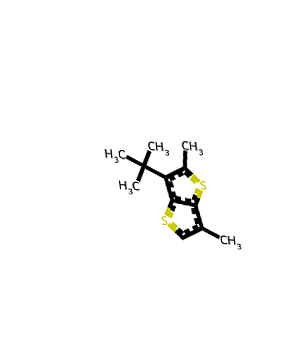 Cc1sc2c(C)csc2c1C(C)(C)C